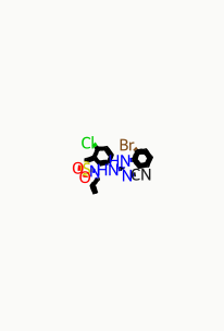 C=CCN1C2=C(NC(=NC#N)Nc3ccccc3Br)C=CC(Cl)C2=CS1(=O)=O